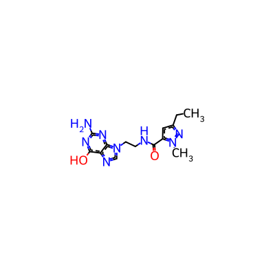 CCc1cc(C(=O)NCCn2cnc3c(O)nc(N)nc32)n(C)n1